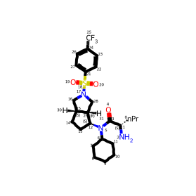 CCC[C@H](N)C(=O)N(C1CCCCC1)[C@H]1CC[C@@H]2CN(S(=O)(=O)c3ccc(C(F)(F)F)cc3)C[C@@H]21